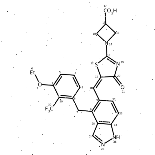 CCOc1cccc(Cc2c(C=C3SC(N4CC(C(=O)O)C4)=NC3=O)ccc3[nH]ncc23)c1C(F)(F)F